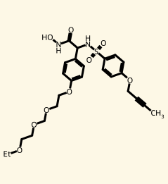 CC#CCOc1ccc(S(=O)(=O)NC(C(=O)NO)c2ccc(OCCOCOCCOCC)cc2)cc1